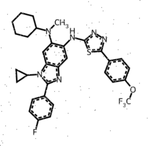 CN(c1cc2c(cc1Nc1nnc(-c3ccc(OC(F)(F)F)cc3)s1)nc(-c1ccc(F)cc1)n2C1CC1)C1CCCCC1